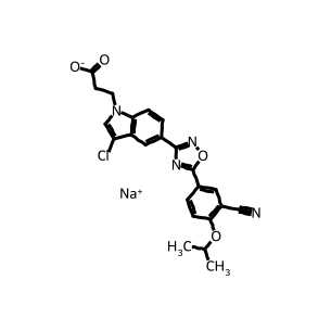 CC(C)Oc1ccc(-c2nc(-c3ccc4c(c3)c(Cl)cn4CCC(=O)[O-])no2)cc1C#N.[Na+]